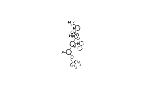 Cc1cccc(S(=O)(=O)NC(=O)c2ccc(-c3cc(F)cc(OCC(C)C)c3)nc2N2CCCC23CCCC3)n1